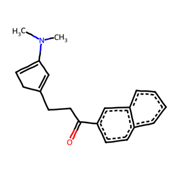 CN(C)C1=CCC(CCC(=O)c2ccc3ccccc3c2)=C1